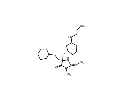 C/N=C1\N[C@](CCC2CCCCC2)(C[C@H]2CCC[C@H](NCCOC)C2)C(=O)N1C